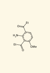 CCC(=O)c1ccc(OC)c(C(=O)CC)c1N